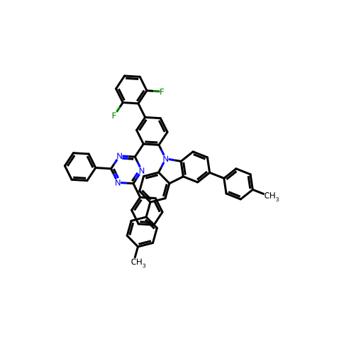 Cc1ccc(-c2ccc3c(c2)c2cc(-c4ccc(C)cc4)ccc2n3-c2ccc(-c3c(F)cccc3F)cc2-c2nc(-c3ccccc3)nc(-c3ccccc3)n2)cc1